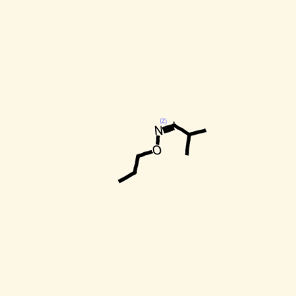 CCCO/N=[C]\C(C)C